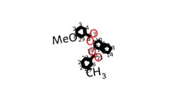 COc1cccc(C(=O)OC2CC3C4CCC(C4)C3C2OC(=O)c2cccc(C)c2)c1